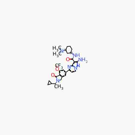 CC(C1CC1)N1Cc2cc(-c3ccn4nc(N)c(C(=O)N[C@@H]5CCC[C@H](N(C)C)C5)c4n3)cc(OC(F)(F)F)c2C1=O